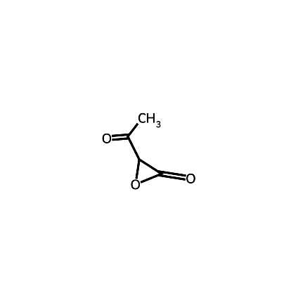 CC(=O)C1OC1=O